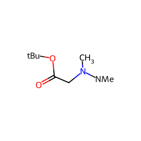 CNN(C)CC(=O)OC(C)(C)C